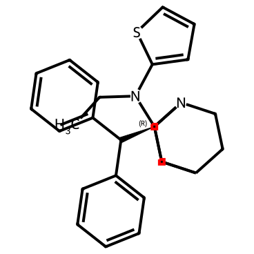 CCN(c1cccs1)[C@@]1(C(c2ccccc2)c2ccccc2)CC2CCN1CC2